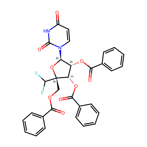 O=C(OC[C@@]1(C(F)F)O[C@@H](n2ccc(=O)[nH]c2=O)[C@H](OC(=O)c2ccccc2)[C@@H]1OC(=O)c1ccccc1)c1ccccc1